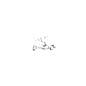 CO[C@H](C[C@H](CCN(C)CCN(C)CCCc1ccccc1)C(=O)NO)c1ccc(F)cc1